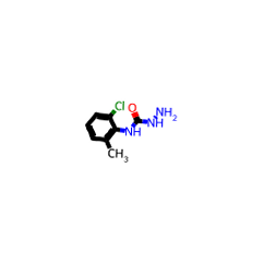 Cc1cccc(Cl)c1NC(=O)NN